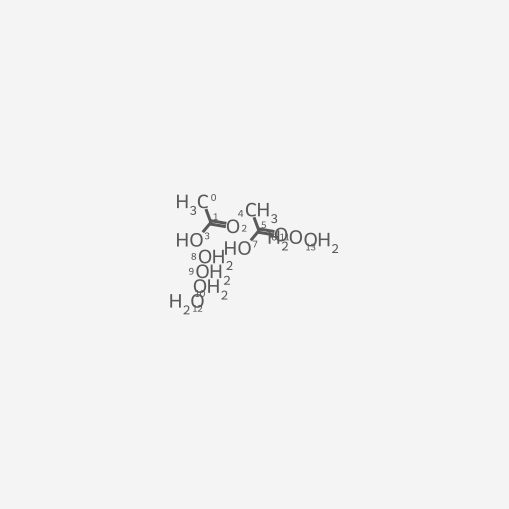 CC(=O)O.CC(=O)O.O.O.O.O.O.O